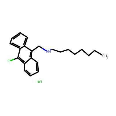 CCCCCCCCNCc1c2ccccc2c(Cl)c2ccccc12.Cl